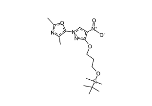 Cc1nc(C)c(-n2cc([N+](=O)[O-])c(OCCCO[Si](C)(C)C(C)(C)C)n2)o1